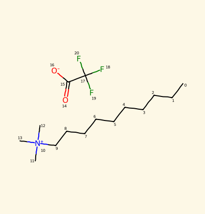 CCCCCCCCCC[N+](C)(C)C.O=C([O-])C(F)(F)F